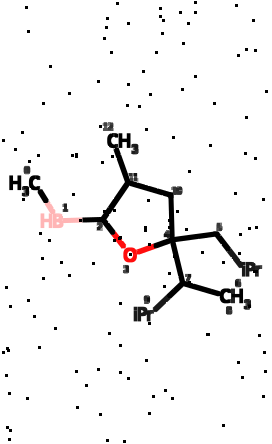 CBC1OC(CC(C)C)(C(C)C(C)C)CC1C